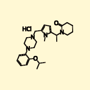 CC(C)Oc1ccccc1N1CCN(Cc2ccc(C(C)N3CCCCC3=O)n2C)CC1.Cl